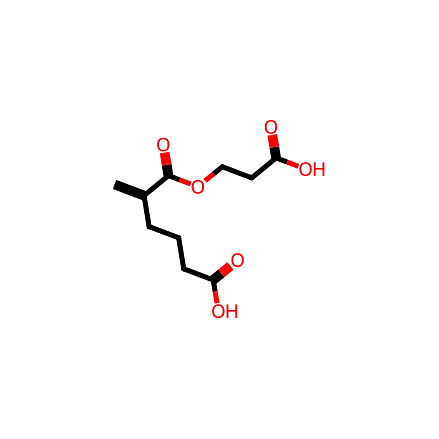 C=C(CCCC(=O)O)C(=O)OCCC(=O)O